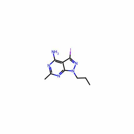 CCCn1nc(I)c2c(N)nc(C)nc21